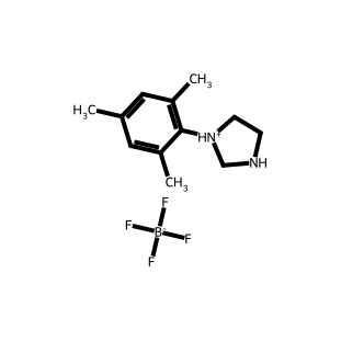 Cc1cc(C)c([NH+]2CCNC2)c(C)c1.F[B-](F)(F)F